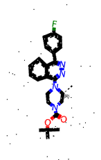 C[C@@H]1CN(C(=O)OC(C)(C)C)CCN1c1nnc(-c2ccc(F)cc2)c2ccccc12